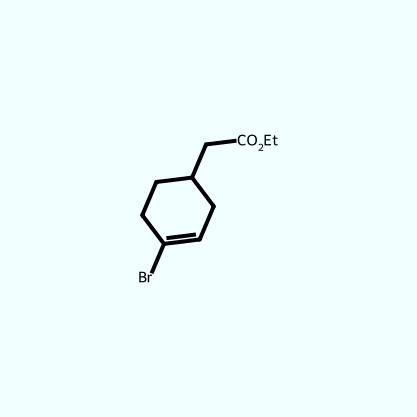 CCOC(=O)CC1CC=C(Br)CC1